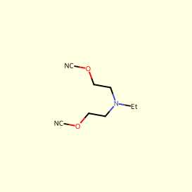 CCN(CCOC#N)CCOC#N